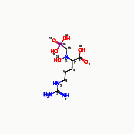 N=C(N)NCCC[C@@H](C(=O)O)N(O)CP(=O)(O)O